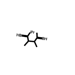 B=C(C)C(C)C(C)C(=B)C(C)C